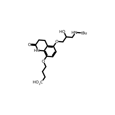 CC(C)(C)NCC(O)COc1ccc(OCCCC(=O)O)c2c1CCC(=O)N2